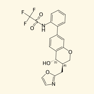 O=S(=O)(Nc1ccccc1-c1ccc2c(c1)OC[C@@H](Cc1ncco1)[C@@H]2O)C(F)(F)F